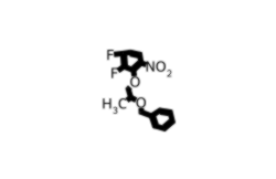 CC(COc1c([N+](=O)[O-])ccc(F)c1F)OCc1ccccc1